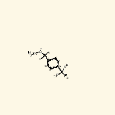 CC(C)(O[SiH3])c1ccc(C(F)(F)F)cc1